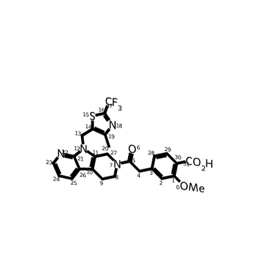 COc1cc(CC(=O)N2CCc3c(n(Cc4sc(C(F)(F)F)nc4C)c4ncccc34)C2)ccc1C(=O)O